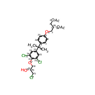 CC(=O)OC[C@@H](COc1ccc(C(C)(C)c2cc(Cl)c(OC[C@@H](O)CCl)c(Cl)c2)cc1)OC(C)=O